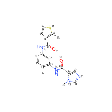 Cc1ccc(NC(=O)c2ccsc2C)cc1NC(=O)c1cncn1C